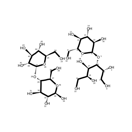 OC[C@@H](O)[C@@H](O[C@H]1O[C@H](CO)[C@@H](O)[C@H](O)[C@H]1O)[C@H](O)[C@@H](O)CO.OC[C@H]1O[C@H](O[C@H]2[C@H](O)[C@@H](O)[C@H](O)O[C@@H]2CO)[C@H](O)[C@@H](O)[C@@H]1O